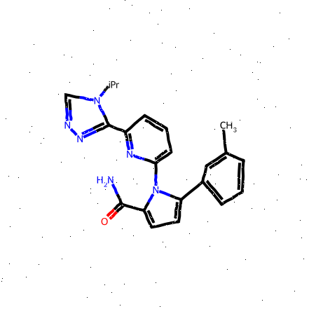 Cc1cccc(-c2ccc(C(N)=O)n2-c2cccc(-c3nncn3C(C)C)n2)c1